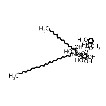 CCCCCCCCCCCCCCCCCCCCCCCCCCN[C@@H](CO[C@@H]1O[C@H](COC(=O)Nc2c(C)cccc2C)[C@H](O)[C@H](O)[C@H]1O)[C@H](O)[C@H](O)CCCCCCCCCCCCCC